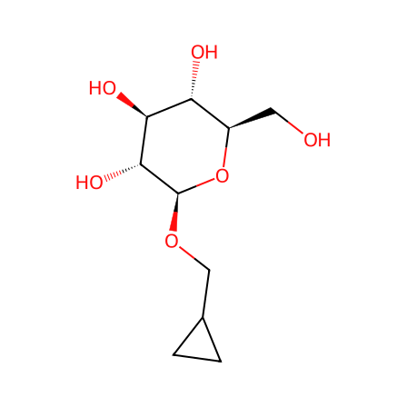 OC[C@H]1O[C@@H](OCC2CC2)[C@H](O)[C@@H](O)[C@@H]1O